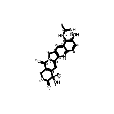 CC[C@@]1(O)C(=O)OCc2c1cc1n(c2=O)Cc2cc3c(NC(C)=N)c(O)ccc3nc2-1